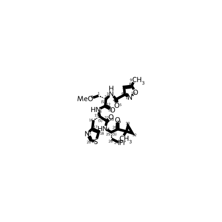 COC[C@H](NC(=O)c1cc(C)on1)C(=O)N[C@@H](Cc1cscn1)C(=O)N[C@@H](CC(C)C)C(=O)C1(C)CC1